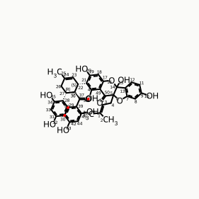 CC(C)=CCC12Oc3cc(O)ccc3C1(O)Oc1cc(O)c([C@H]3C=C(C)C[C@@H](c4ccc(O)cc4O)[C@@H]3C(=O)c3ccc(O)cc3O)c(O)c1C2=O